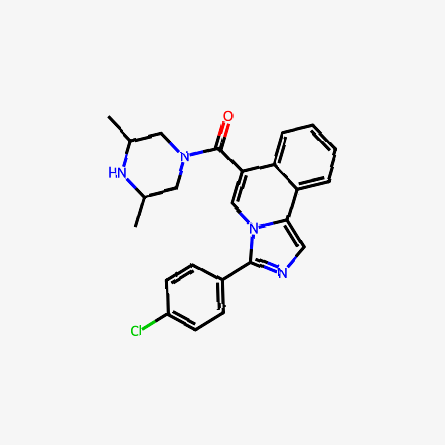 CC1CN(C(=O)c2cn3c(-c4ccc(Cl)cc4)ncc3c3ccccc23)CC(C)N1